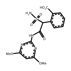 COc1cc(OC)nc(NC(=O)C(c2ccccc2C(=O)O)S(N)(=O)=O)n1